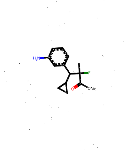 COC(=O)C(C)(F)C(c1cccc(N)c1)C1CC1